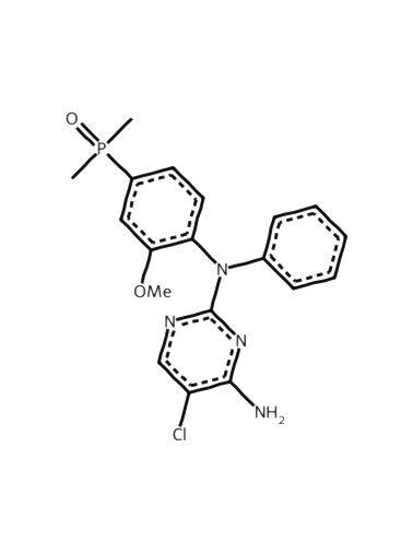 COc1cc(P(C)(C)=O)ccc1N(c1ccccc1)c1ncc(Cl)c(N)n1